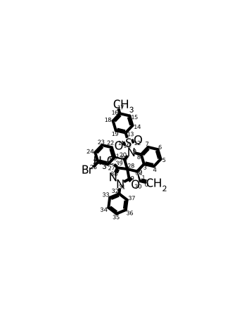 C=C[C@@H]1c2ccccc2N(S(=O)(=O)c2ccc(C)cc2)[C@H](c2cccc(Br)c2)C12C(=O)N(c1ccccc1)N=C2C